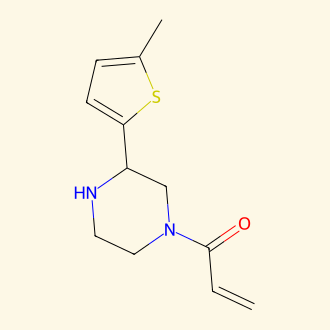 C=CC(=O)N1CCNC(c2ccc(C)s2)C1